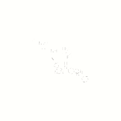 O=C(O)C(F)(F)F.O=C(O[C@H]1CN[C@H](C#Cc2cc3ncnc(Nc4ccc5c(cnn5Cc5ccccc5F)c4)c3s2)C1)N1CCOCC1